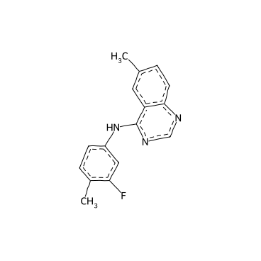 Cc1ccc2ncnc(Nc3ccc(C)c(F)c3)c2c1